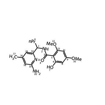 CCCC(NC(=O)c1c(O)cc(OC)cc1OC)c1cc(C)cc(N)n1